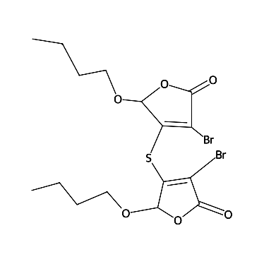 CCCCOC1OC(=O)C(Br)=C1SC1=C(Br)C(=O)OC1OCCCC